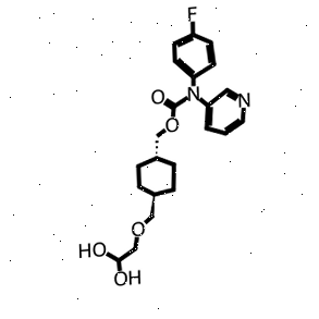 O=C(OC[C@H]1CC[C@H](COCC(O)O)CC1)N(c1ccc(F)cc1)c1cccnc1